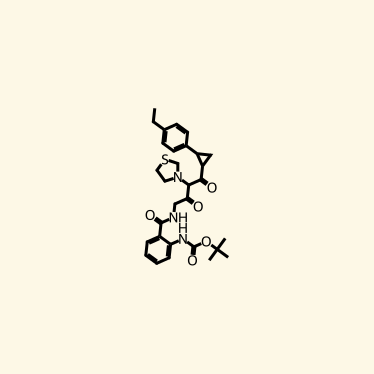 CCc1ccc(C2CC2C(=O)C(C(=O)CNC(=O)c2ccccc2NC(=O)OC(C)(C)C)N2CCSC2)cc1